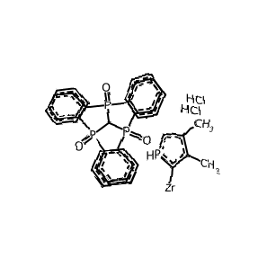 Cc1c[pH][c]([Zr])c1C.Cl.Cl.O=P(c1ccccc1)(c1ccccc1)C(P(=O)(c1ccccc1)c1ccccc1)P(=O)(c1ccccc1)c1ccccc1